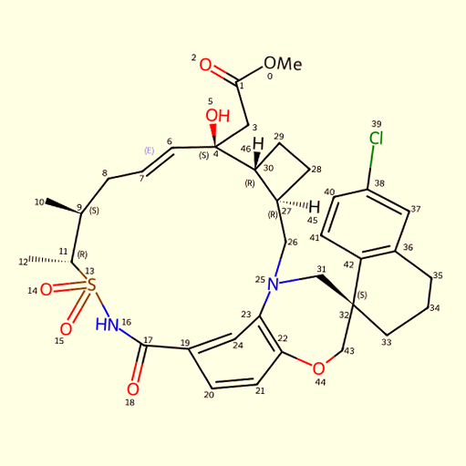 COC(=O)C[C@@]1(O)/C=C/C[C@H](C)[C@@H](C)S(=O)(=O)NC(=O)c2ccc3c(c2)N(C[C@@H]2CC[C@H]21)C[C@@]1(CCCc2cc(Cl)ccc21)CO3